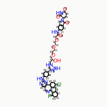 N=N/C(=C\NCC(O)COCCOCCOCC(=O)Nc1ccc2c(c1)CN(C1CCC(=O)NC1=O)C2=O)c1ccc(Nc2ncc3c(n2)-c2ccc(Cl)cc2C(c2c(F)cccc2F)=NC3)cc1